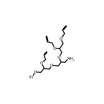 C=CCOCC(COC(CN)COCC(COCC)OCC=C)OCC=C